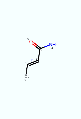 CC/C=C/C([NH])=O